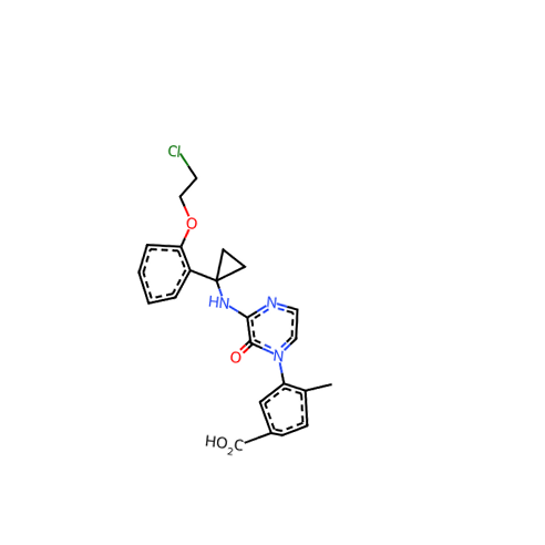 Cc1ccc(C(=O)O)cc1-n1ccnc(NC2(c3ccccc3OCCCl)CC2)c1=O